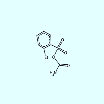 CCc1ccccc1S(=O)(=O)OC(N)=O